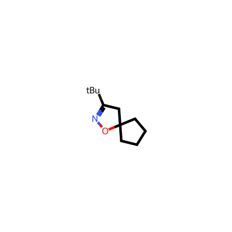 CC(C)(C)C1=NOC2(CCCC2)C1